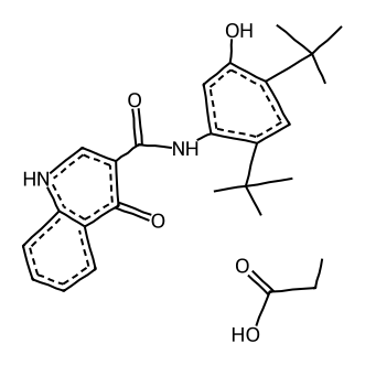 CC(C)(C)c1cc(C(C)(C)C)c(NC(=O)c2c[nH]c3ccccc3c2=O)cc1O.CCC(=O)O